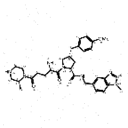 COc1ccc(C[C@@H]2C[C@@H](C(=O)NCc3ccc4c(c3)nnn4C)N(C(=O)[C@H](N)CCC(=O)N3CCNC[C@@H]3C)C2)cc1